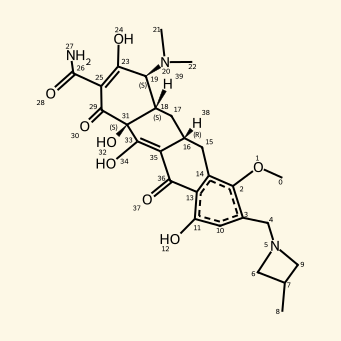 COc1c(CN2CC(C)C2)cc(O)c2c1C[C@H]1C[C@H]3[C@H](N(C)C)C(O)=C(C(N)=O)C(=O)[C@@]3(O)C(O)=C1C2=O